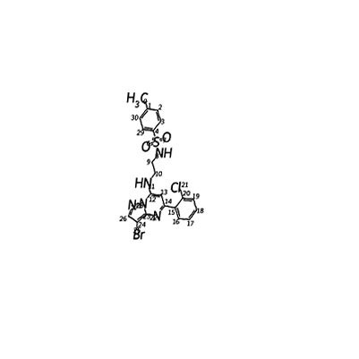 Cc1ccc(S(=O)(=O)NCCNc2cc(-c3ccccc3Cl)nc3c(Br)cnn23)cc1